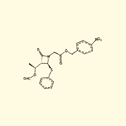 C[C@H](OC=O)[C@@H]1C(=O)N(CC(=O)OCc2ccc([N+](=O)[O-])cc2)[C@H]1Sc1ccccc1